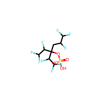 O=P(O)(O)OC(CC(F)C(F)F)(C(F)C(F)F)C(F)C(F)F